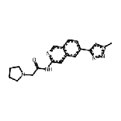 Cn1cc(-c2ccc3cnc(NC(=O)CN4CCCC4)cc3c2)nn1